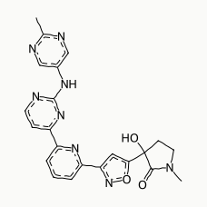 Cc1ncc(Nc2nccc(-c3cccc(-c4cc(C5(O)CCN(C)C5=O)on4)n3)n2)cn1